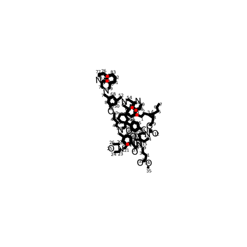 CCCC1C(CCC)C1COC(=O)N1CCC(C(=O)NCCN2CCOCC2)(N(CCCC(=O)OC)C(=O)c2ccc(CN(CCCCOc3cc(CN(Cc4ccccn4)Cc4ccccn4)cc(CN(Cc4ccccn4)Cc4ccccn4)c3)C(=O)C3(c4ccc(Cl)cc4)CCCCC3)cc2)CC1